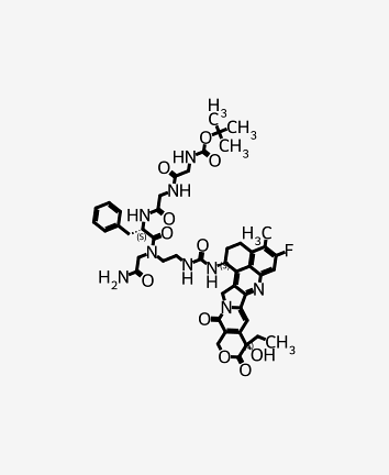 CC[C@@]1(O)C(=O)OCc2c1cc1n(c2=O)Cc2c-1nc1cc(F)c(C)c3c1c2[C@@H](NC(=O)NCCN(CC(N)=O)C(=O)[C@H](Cc1ccccc1)NC(=O)CNC(=O)CNC(=O)OC(C)(C)C)CC3